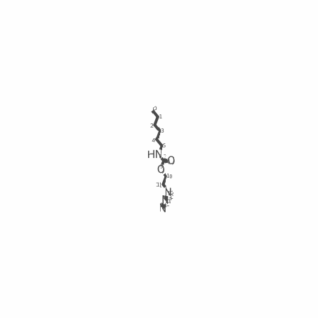 CCCCCCNC(=O)OCCN=[N+]=[N-]